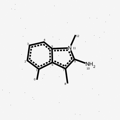 Cc1cccc2c1c(C)c(N)n2C